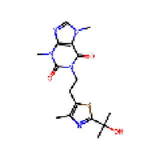 Cc1nc(C(C)(C)O)sc1CCn1c(=O)c2c(ncn2C)n(C)c1=O